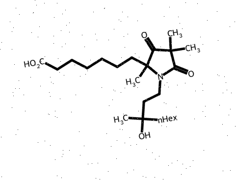 CCCCCCC(C)(O)CCN1C(=O)C(C)(C)C(=O)C1(C)CCCCCCC(=O)O